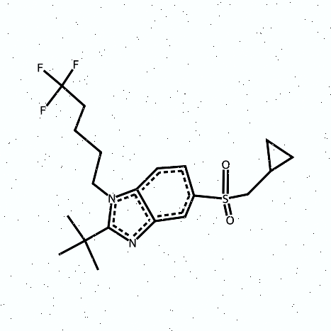 CC(C)(C)c1nc2cc(S(=O)(=O)CC3CC3)ccc2n1CCCCC(F)(F)F